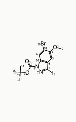 COc1cc2c(I)nn(C(=O)OC(C)(C)C)c2cc1Br